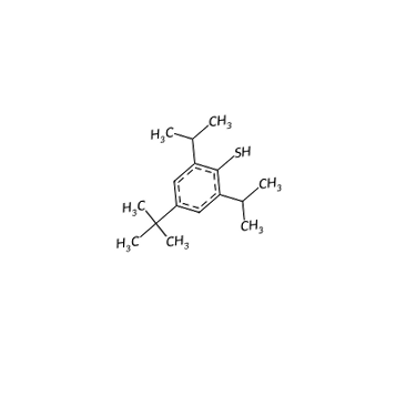 CC(C)c1cc(C(C)(C)C)cc(C(C)C)c1S